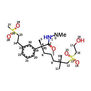 CNNC(=O)[C@](C)(CCCC(C)(C)CS(=O)(=O)CCO)c1cccc(CCS(C)(=O)=O)c1